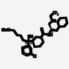 COCCCC[C@@](O)(c1cccc(Cl)c1)[C@@H]1CCCN(C(=O)N[C@H](CNCC(F)(F)F)CC2CCCCC2)C1